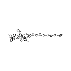 [CH2]c1ccc(NC(=O)[C@H](CCCCNC(c2ccccc2)(c2ccccc2)c2ccc(C)cc2)NC(=O)[C@H](Cc2ccccc2)NC(=O)CCOCCOCCOCCOCCOCCOCCOCCOCCOCCN=[N+]=[N-])c(OC)c1